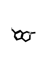 CN1CCc2ccc(I)cc2C1